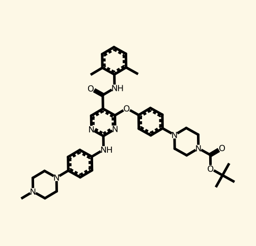 Cc1cccc(C)c1NC(=O)c1cnc(Nc2ccc(N3CCN(C)CC3)cc2)nc1Oc1ccc(N2CCN(C(=O)OC(C)(C)C)CC2)cc1